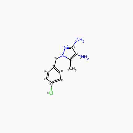 Cc1c(N)c(N)nn1Cc1ccc(Cl)cc1